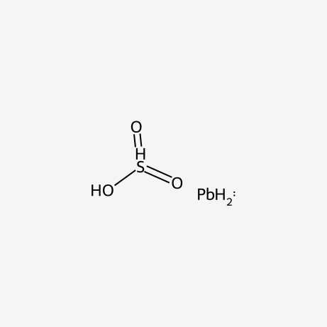 O=[SH](=O)O.[PbH2]